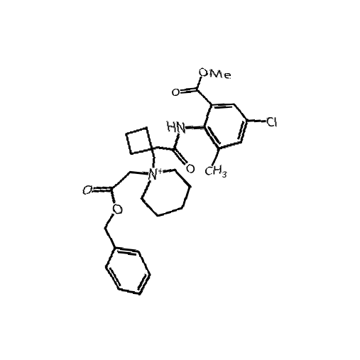 COC(=O)c1cc(Cl)cc(C)c1NC(=O)C1([N+]2(CC(=O)OCc3ccccc3)CCCCC2)CCC1